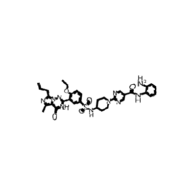 CCCc1nc(C)c2c(=O)[nH]c(-c3cc(S(=O)(=O)NC4CCN(c5ncc(C(=O)Nc6ccccc6N)cn5)CC4)ccc3OCC)nn12